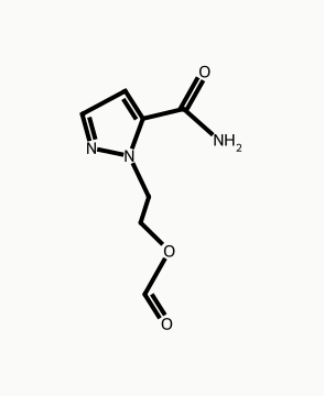 NC(=O)c1ccnn1CCOC=O